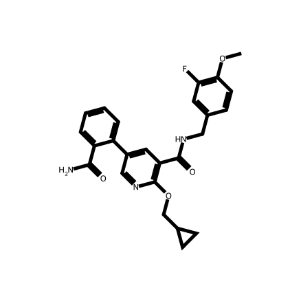 COc1ccc(CNC(=O)c2cc(-c3ccccc3C(N)=O)cnc2OCC2CC2)cc1F